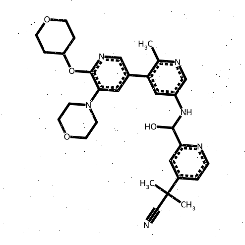 Cc1ncc(NC(O)c2cc(C(C)(C)C#N)ccn2)cc1-c1cnc(OC2CCOCC2)c(N2CCOCC2)c1